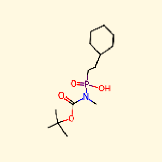 CN(C(=O)OC(C)(C)C)P(=O)(O)CCC1CCCCC1